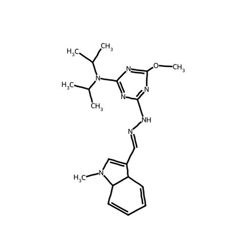 COc1nc(N/N=C/C2=CN(C)C3C=CC=CC23)nc(N(C(C)C)C(C)C)n1